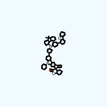 CC1(C)c2ccccc2-c2c(N(c3ccc(-c4ccc5c(c4)c4cc6c(cc4n5-c4ccccc4)C4(c5ccccc5Oc5ccccc54)c4ccccc4-6)cc3)c3ccc(-c4cccc5c4oc4ccccc45)cc3)cccc21